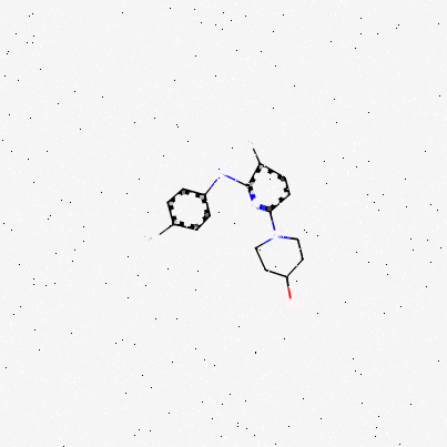 N#Cc1ccc(Nc2nc(N3CCC(O)CC3)ccc2[N+](=O)[O-])cc1